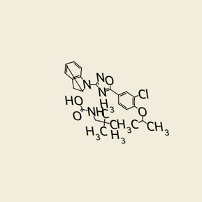 CC(C)(C)CNC(=O)O.CC(C)Oc1ccc(-c2nc(N3c4ccc5cc4CC53)no2)cc1Cl